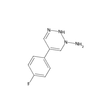 NN1C=C(c2ccc(F)cc2)C=NN1